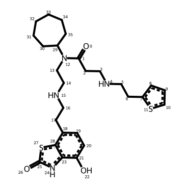 O=C(CCNCCc1cccs1)N(CCNCCc1ccc(O)c2[nH]c(=O)sc12)C1CCCCCC1